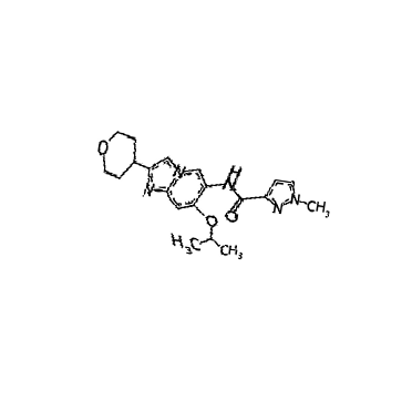 CC(C)Oc1cc2nc(C3CCOCC3)cn2cc1NC(=O)c1ccn(C)n1